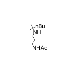 CCCCC(C)(C)NCCCNC(C)=O